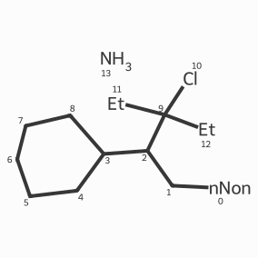 CCCCCCCCCCC(C1CCCCC1)C(Cl)(CC)CC.N